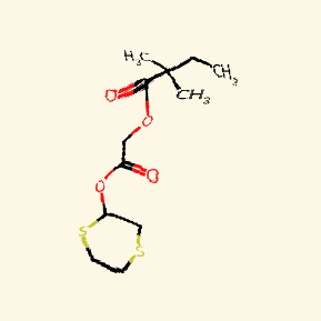 CCC(C)(C)C(=O)OCC(=O)OC1CSCCS1